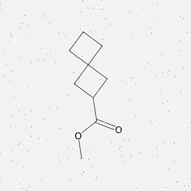 COC(=O)C1CC2(CCC2)C1